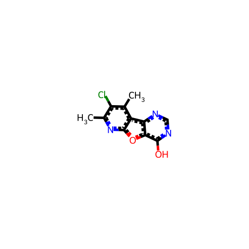 Cc1nc2oc3c(O)ncnc3c2c(C)c1Cl